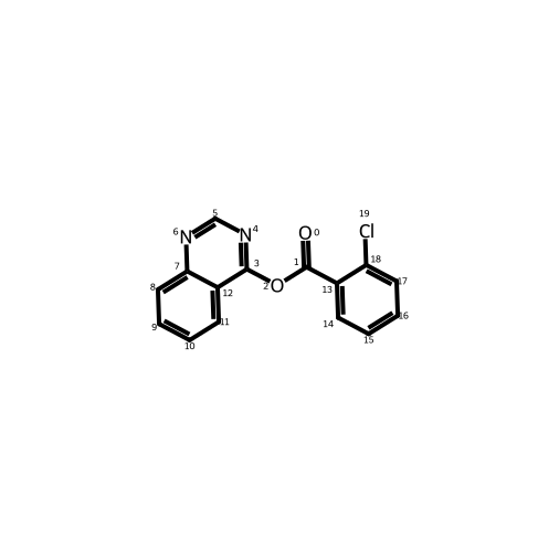 O=C(Oc1ncnc2ccccc12)c1ccccc1Cl